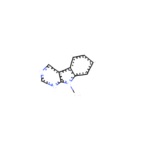 Cn1c2ccccc2c2cncnc21